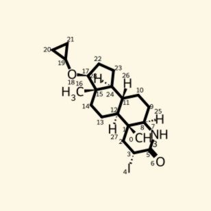 C[C@]12C[C@@H](I)C(=O)N[C@@H]1CC[C@@H]1[C@@H]2CC[C@]2(C)[C@@H](OC3CC3)CC[C@@H]12